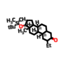 CCC1C[C@H]2C(CC[C@@H]3[C@@H]2CC[C@]2(C)[C@@H](O[Si](C)(C)C(C)(C)C)CC[C@@H]32)CC1=O